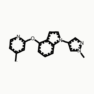 [CH2]c1ccnc(Oc2cccc3c2ccn3-c2cnn(C)c2)c1